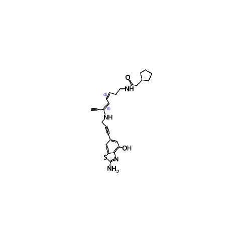 C#C/C(=C\C=C/CCNC(=O)CC1CCCC1)NCC#Cc1cc(O)c2nc(N)sc2c1